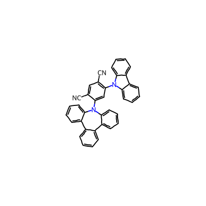 N#Cc1cc(C#N)c(-n2c3ccccc3c3ccccc32)cc1N1c2ccccc2-c2ccccc2-c2ccccc21